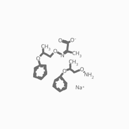 CC(=NOCC(C)Oc1ccccc1)C(=O)[O-].CC(CON)Oc1ccccc1.[Na+]